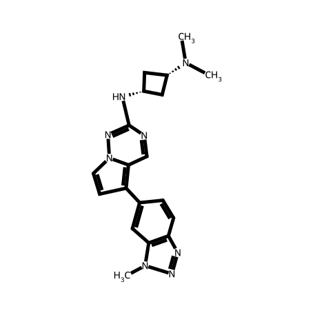 Cn1nnc2ccc(-c3ccn4nc(N[C@H]5C[C@@H](N(C)C)C5)ncc34)cc21